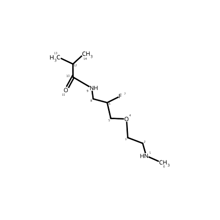 CNCCOCC(F)CNC(=O)C(C)C